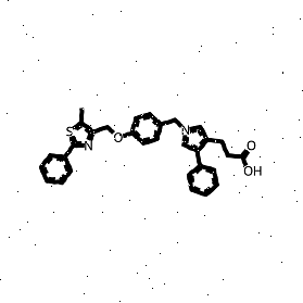 Cc1sc(-c2ccccc2)nc1COc1ccc(Cn2cc(CCC(=O)O)c(-c3ccccc3)c2)cc1